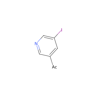 CC(=O)c1cncc(I)c1